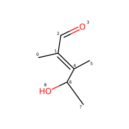 CC(C=O)=C(C)C(C)O